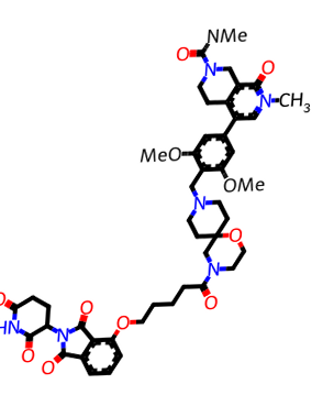 CNC(=O)N1CCc2c(-c3cc(OC)c(CN4CCC5(CC4)CN(C(=O)CCCCOc4cccc6c4C(=O)N(C4CCC(=O)NC4=O)C6=O)CCO5)c(OC)c3)cn(C)c(=O)c2C1